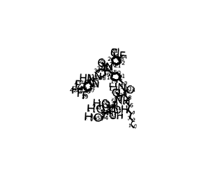 CCCCCCCCCC(C(=O)NCc1ccc(C2N(c3ccc(F)c(Cl)c3)C(=O)C23CCN(c2nc4cc(F)c(C(F)(F)F)cc4[nH]2)CC3)cc1)C(=O)NC[C@@H](O)[C@H](O)[C@@H](O)[C@@H](O)CO